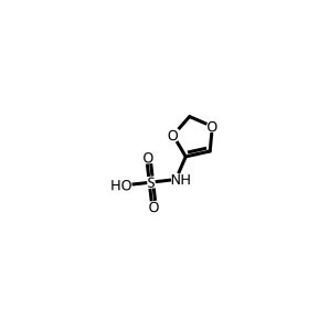 O=S(=O)(O)NC1=COCO1